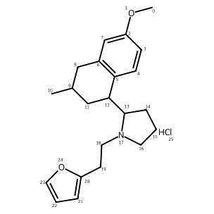 COc1ccc2c(c1)CC(C)CC2C1CCCN1CCc1ccco1.Cl